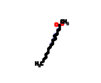 CCCCCCCC/C=C/C=C/C=C/C=C/C(=O)OC